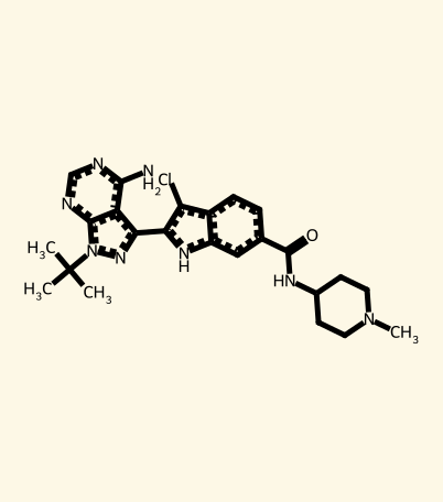 CN1CCC(NC(=O)c2ccc3c(Cl)c(-c4nn(C(C)(C)C)c5ncnc(N)c45)[nH]c3c2)CC1